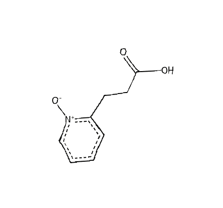 O=C(O)CCc1cccc[n+]1[O-]